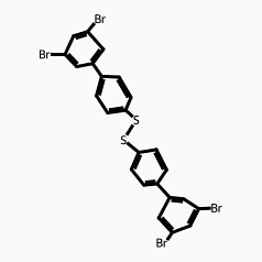 Brc1cc(Br)cc(-c2ccc(SSc3ccc(-c4cc(Br)cc(Br)c4)cc3)cc2)c1